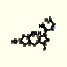 Cc1nn(C(=N)/C=C\N)cc1CN1C[C@H](O)C[C@H]1C(=O)O